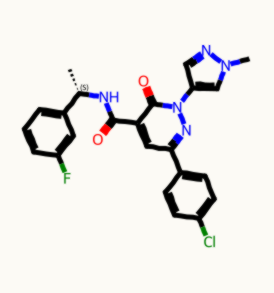 C[C@H](NC(=O)c1cc(-c2ccc(Cl)cc2)nn(-c2cnn(C)c2)c1=O)c1cccc(F)c1